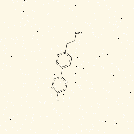 CCc1ccc(-c2ccc(CCNC)cc2)cc1